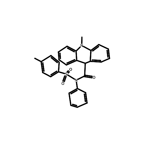 Cc1ccc(S(=O)(=O)N(C(=O)C2c3ccccc3N(C)c3ccccc32)c2ccccc2)cc1